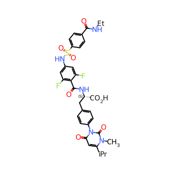 CCNC(=O)c1ccc(S(=O)(=O)Nc2cc(F)c(C(=O)N[C@@H](Cc3ccc(-n4c(=O)cc(C(C)C)n(C)c4=O)cc3)C(=O)O)c(F)c2)cc1